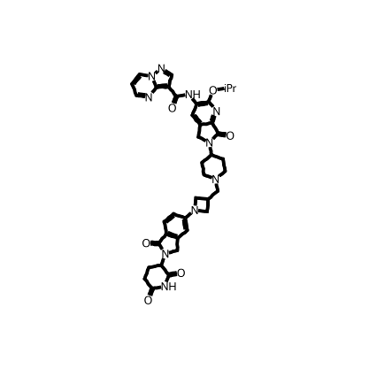 CC(C)Oc1nc2c(cc1NC(=O)c1cnn3cccnc13)CN(C1CCN(CC3CN(c4ccc5c(c4)CN(C4CCC(=O)NC4=O)C5=O)C3)CC1)C2=O